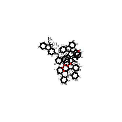 CC1(C)c2ccccc2-c2ccc(N(c3ccccc3)c3ccc4c(c3)C3(c5ccccc5-4)c4ccccc4-c4c3sc3cc(-c5cccc(-c6ccccc6N(c6ccccc6)c6cccc7c6-c6ccccc6C76c7ccccc7-c7c6sc6ccccc76)c5)ccc43)cc21